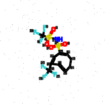 O=S(=O)(NS(=O)(=O)C(F)(F)F)C1=C/CC/C=C/C(C(F)(F)F)=C\1